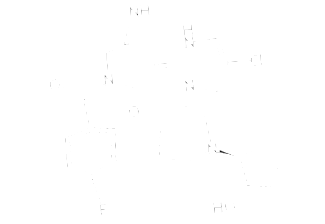 N=C1CN(C(=O)c2ccc(F)cc2OC2CCN([C@H]3CCCC3O)CC2)C/C1=C1\N=CC(Cl)=CN1